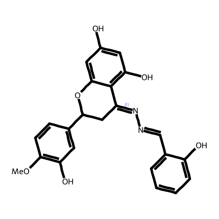 COc1ccc(C2C/C(=N\N=Cc3ccccc3O)c3c(O)cc(O)cc3O2)cc1O